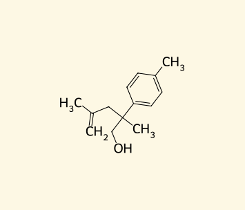 C=C(C)CC(C)(CO)c1ccc(C)cc1